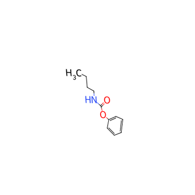 CCCCNC(=O)Oc1ccccc1